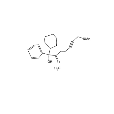 CNCC#CCCC(=O)C(O)(c1ccccc1)C1CCCCC1.O